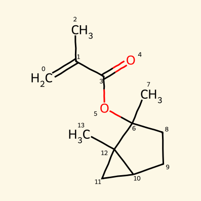 C=C(C)C(=O)OC1(C)CCC2CC21C